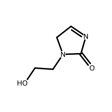 O=C1N=CCN1CCO